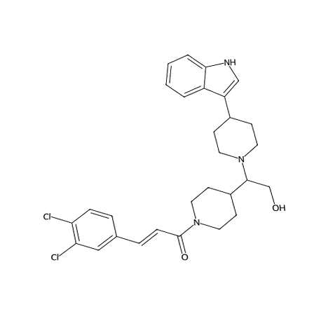 O=C(C=Cc1ccc(Cl)c(Cl)c1)N1CCC(C(CO)N2CCC(c3c[nH]c4ccccc34)CC2)CC1